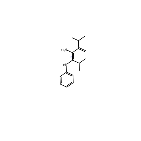 C=C(/C(N)=C(/Nc1ccccc1)C(C)C)C(C)C